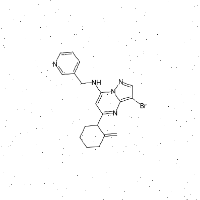 C=C1CCCCC1c1cc(NCc2cccnc2)n2ncc(Br)c2n1